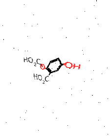 O=C(O)Oc1ccc(O)cc1C(=O)O